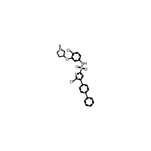 CN1CCC(Oc2cc(NS(=O)(=O)c3cc(-c4ccc(-c5ccccc5)cc4)c(Cl)s3)ccc2Cl)C1